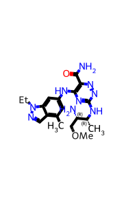 CCn1ncc2c(C)cc(Nc3nc(N[C@H](C)[C@@H](N)COC)nnc3C(N)=O)cc21